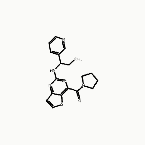 CCC(Nc1nc(C(=O)N2CCCC2)c2sccc2n1)c1cccnc1